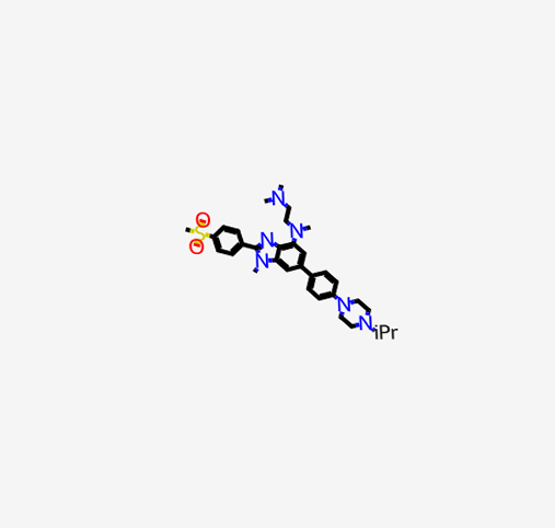 CC(C)N1CCN(c2ccc(-c3cc(N(C)CCN(C)C)c4nc(-c5ccc(S(C)(=O)=O)cc5)n(C)c4c3)cc2)CC1